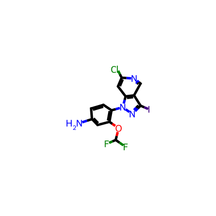 Nc1ccc(-n2nc(I)c3cnc(Cl)cc32)c(OC(F)F)c1